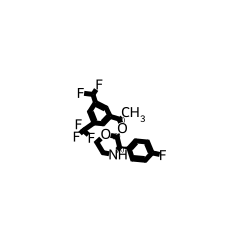 C[C@@H](O[C@H]1OCCN[C@@H]1c1ccc(F)cc1)c1cc(C(F)F)cc(C(F)(F)F)c1